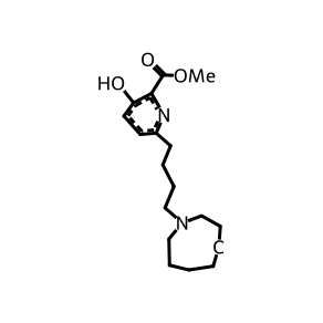 COC(=O)c1nc(CCCCN2CCCCCCC2)ccc1O